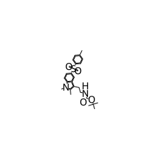 Cc1ccc(S(=O)(=O)c2ccc3c(c2)c(CCNC(=O)OC(C)(C)C)c(C)n3C)cc1